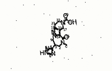 CN1CC(c2nc[nH]n2)Cn2nc3c(c2C1=O)CN(C(=O)O)CC3